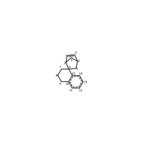 C1=CC2CC1CC21CCCc2ccccc21